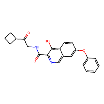 O=C(NCC(=O)C1CCC1)c1ncc2cc(Oc3ccccc3)ccc2c1O